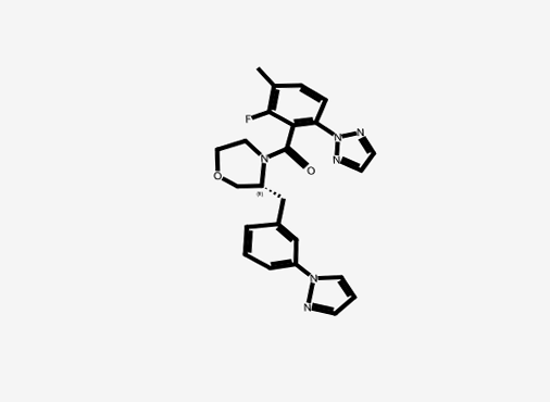 Cc1ccc(-n2nccn2)c(C(=O)N2CCOC[C@H]2Cc2cccc(-n3cccn3)c2)c1F